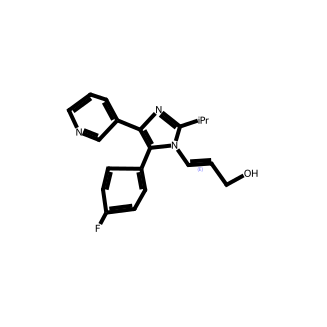 CC(C)c1nc(-c2cccnc2)c(-c2ccc(F)cc2)n1/C=C/CO